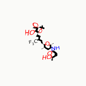 C[C@@H](O)/C=C\C(=O)N[C@@H]1C[C@H](C)[C@H](C/C=C(/C=C/[C@H]2OC(C)(C)C[C@@]3(CO3)[C@@H]2O)C(F)(F)F)O[C@@H]1C